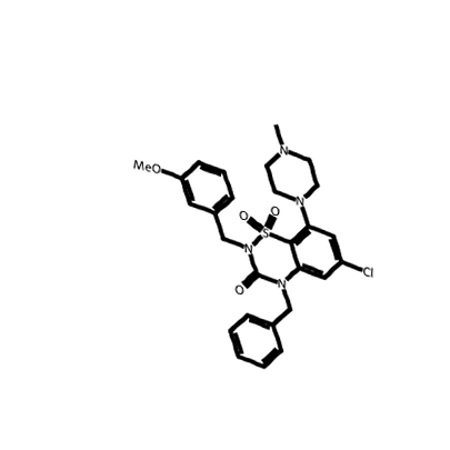 COc1cccc(CN2C(=O)N(Cc3ccccc3)c3cc(Cl)cc(N4CCN(C)CC4)c3S2(=O)=O)c1